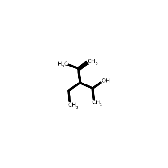 C=C(C)C(CC)C(C)O